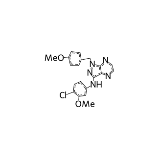 COc1ccc(Cn2nc(Nc3ccc(Cl)c(OC)c3)c3nccnc32)cc1